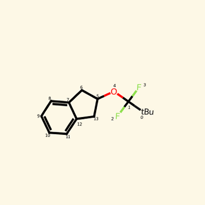 CC(C)(C)C(F)(F)OC1Cc2ccccc2C1